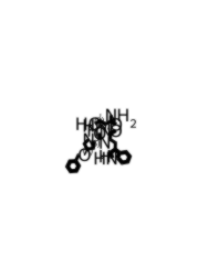 C[C@@H](O)[C@H](NC(=O)C(Cc1c[nH]c2ccccc12)NC(=O)[C@@H]1C[C@@H](OCc2ccccc2)CN1)C(N)=O